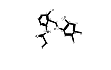 CCC(=O)Nc1cccc(I)c1COc1cc(C)c(C)cc1Br